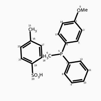 COc1ccc(P(C)c2ccccc2)cc1.Cc1ccc(S(=O)(=O)O)cc1